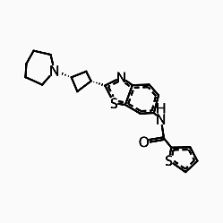 O=C(Nc1ccc2nc([C@H]3C[C@@H](N4CCCCC4)C3)sc2c1)c1cccs1